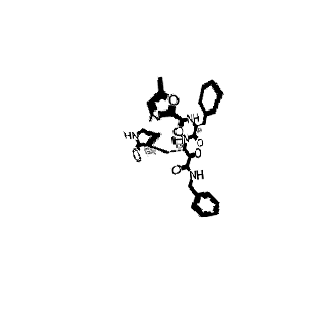 Cc1cnc(C(=O)N[C@@H](CC2CCCCC2)C(=O)N[C@@H](C[C@@H]2CCNC2=O)C(=O)C(=O)NCc2ccccc2)o1